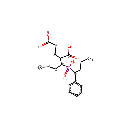 CCCC(c1ccccc1)P(=O)(O)C(CCC)C(CCC(=O)O)C(=O)O